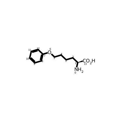 N[C@@H](CCCCOc1ccccc1)C(=O)O